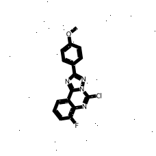 COc1ccc(-c2nc3c4cccc(F)c4nc(Cl)n3n2)cc1